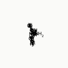 Cc1oc(-c2ccc(C(F)(F)F)cc2)nc1CSc1nc(N)c(C#N)c(-c2ccc(CC[C@@H]3COC(C)(C)O3)cc2)c1C#N